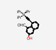 CC(C)[Si](C#Cc1cccc2cc(O)cc(C=O)c12)(C(C)C)C(C)C